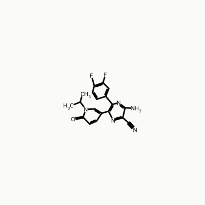 CC(C)n1cc(-c2nc(C#N)c(N)nc2-c2ccc(F)c(F)c2)ccc1=O